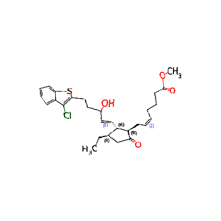 CC[C@@H]1CC(=O)[C@H](C/C=C\CCCC(=O)OC)[C@H]1/C=C/C(O)CCc1sc2ccccc2c1Cl